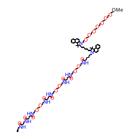 C#CCNC(=O)CCNC(=O)CCC(=O)NCCOCCOCCNC(=O)CCC(=O)NCCOCCOCCNC(=O)CCC(=O)NCCOCCOCCNC(=O)CCCCCN1/C(=C/C=C/C=C/C2=[N+](CCOCCOCCOCCOCCOCCOCCOCCOC)c3ccc4ccccc4c3C2(C)C)C(C)(C)c2c1ccc1ccccc21